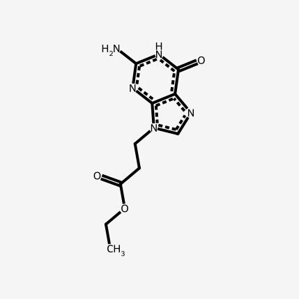 CCOC(=O)CCn1cnc2c(=O)[nH]c(N)nc21